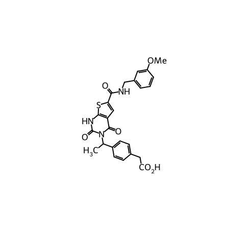 COc1cccc(CNC(=O)c2cc3c(=O)n(C(C)c4ccc(CC(=O)O)cc4)c(=O)[nH]c3s2)c1